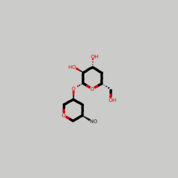 O=N[C@H]1COC[C@@H](O[C@H]2O[C@@H](CO)C[C@@H](O)[C@@H]2O)C1